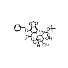 COC(=O)c1c([C@@H]2[C@@H](NC(=O)OC(C)(C)C)[C@H](O)[C@H](O)[C@@H]3O[C@@H]32)cc2c(c1OCc1ccccc1)OCO2